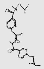 CC(C)Cc1ccc(C(=O)C(C)OC(C)Cc2ccc(C(=O)C(C)(C)OC(C)C)cc2)cc1